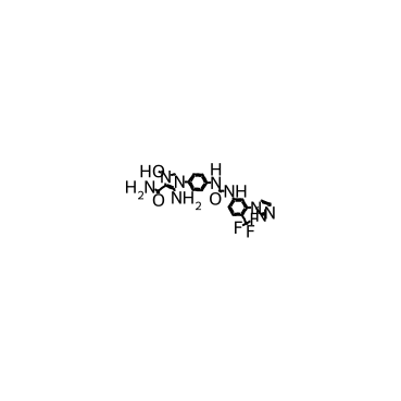 NC(=O)C1=C(N)N(c2ccc(NC(=O)Nc3ccc(C(F)(F)F)c(-n4ccnn4)c3)cc2)CN1O